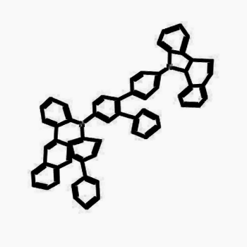 C1=CC2c3ccccc3N(c3ccc(-c4ccc(N(c5ccc(-c6ccccc6)cc5)c5ccccc5-c5ccc6ccccc6c5)cc4-c4ccccc4)cc3)C2c2ccccc21